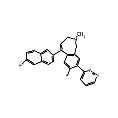 CN1CC=C(c2ccc3cc(F)ccc3c2)c2cc(F)c(-c3cccnn3)cc2C1